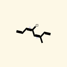 C=C/C=C(Cl)\C=C(\C)C=C